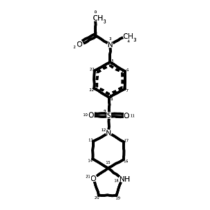 CC(=O)N(C)c1ccc(S(=O)(=O)N2CCC3(CC2)NCCO3)cc1